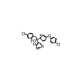 OC(Cc1ccc(Cl)cc1F)(c1cncnc1)c1ccc(Oc2ccc(Cl)cc2)cn1